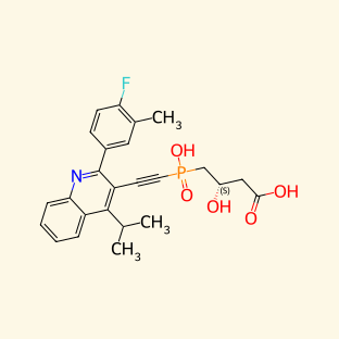 Cc1cc(-c2nc3ccccc3c(C(C)C)c2C#CP(=O)(O)C[C@@H](O)CC(=O)O)ccc1F